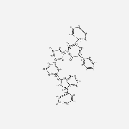 c1ccc(-c2nc(-c3ccccc3)nc(-c3cccc(-c4cccc(-c5cn(-c6ccccc6)c6ccccc56)c4)c3)n2)cc1